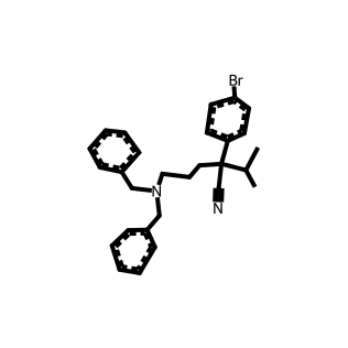 CC(C)C(C#N)(CCCN(Cc1ccccc1)Cc1ccccc1)c1ccc(Br)cc1